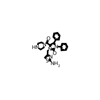 Nc1nc(Cn2c(C(=O)N3CCNCC3)c(-c3ccccc3)n(-c3ccccc3)c2=O)cs1